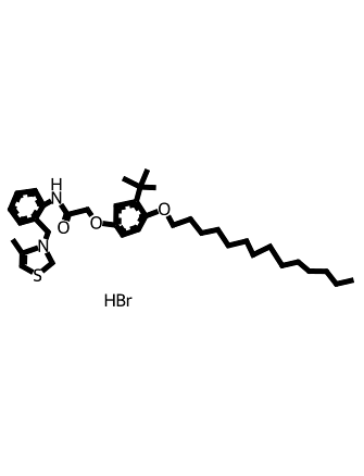 Br.CCCCCCCCCCCCCCOc1ccc(OCC(=O)Nc2ccccc2CN2CSC=C2C)cc1C(C)(C)C